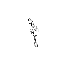 Cc1cc(C#Cc2ccccc2)cnc1NC(=O)c1nn(C2CCOCC2)cc1Cl